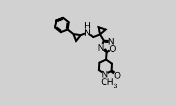 CN1CCC(c2nc(C3(CNC4CC4c4ccccc4)CC3)no2)CC1=O